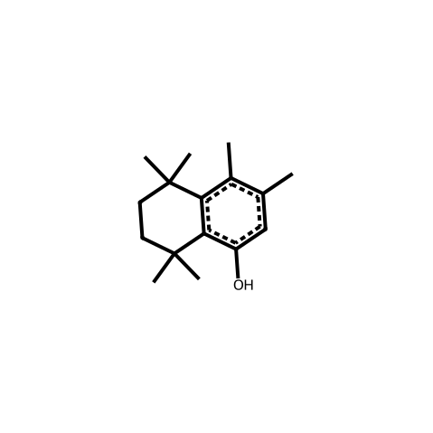 Cc1cc(O)c2c(c1C)C(C)(C)CCC2(C)C